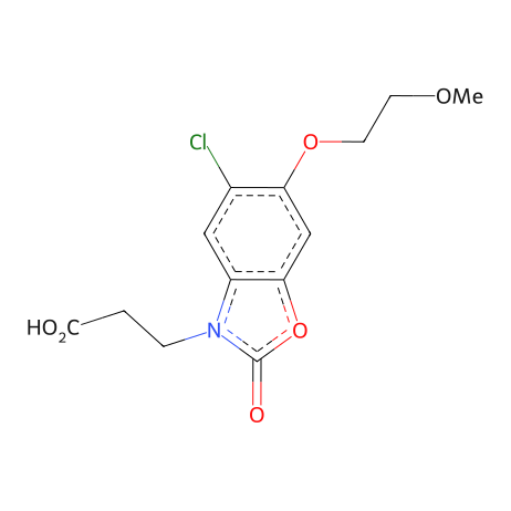 COCCOc1cc2oc(=O)n(CCC(=O)O)c2cc1Cl